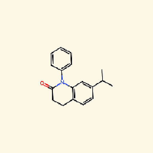 CC(C)c1ccc2c(c1)N(c1ccccc1)C(=O)CC2